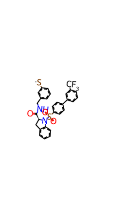 O=C(NCc1cccc([S])c1)[C@@H]1Cc2ccccc2N1S(=O)(=O)c1ccc(-c2cccc(C(F)(F)F)c2)cc1